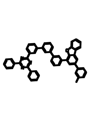 Cc1cccc(-c2cc(-c3cccc(-c4cccc(-c5cccc(-c6nc(-c7ccccc7)nc(-c7ccccc7)n6)c5)c4)c3)c3oc4ccccc4c3c2)c1